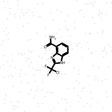 NC(=O)c1cccc2[nH]c(C(F)(F)Cl)nc12